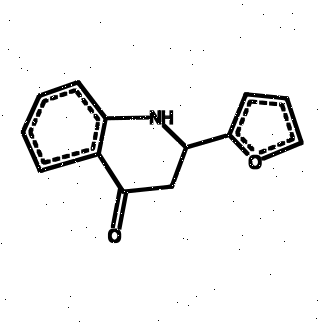 O=C1CC(c2ccco2)Nc2ccccc21